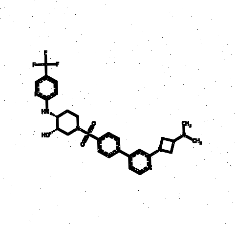 CN(C)C1CN(c2cc(-c3ccc(S(=O)(=O)N4CC[C@@H](Nc5ccc(C(F)(F)F)cn5)[C@@H](O)C4)cc3)ccn2)C1